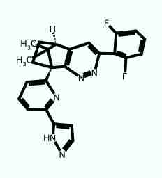 CC1(C)[C@H]2CC[C@@]1(c1cccc(-c3ccn[nH]3)n1)c1nnc(-c3c(F)cccc3F)cc12